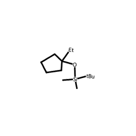 CCC1(O[Si](C)(C)C(C)(C)C)CCCC1